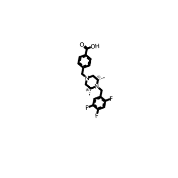 C[C@@H]1CN(Cc2ccc(C(=O)O)cc2)C[C@H](C)N1Cc1cc(F)c(F)cc1F